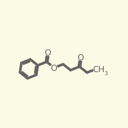 CCC(=O)CCOC(=O)c1ccccc1